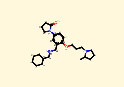 CC1CCCN1CCCOc1ccc(N2CCCC2=O)cc1CNCC1CCCCC1